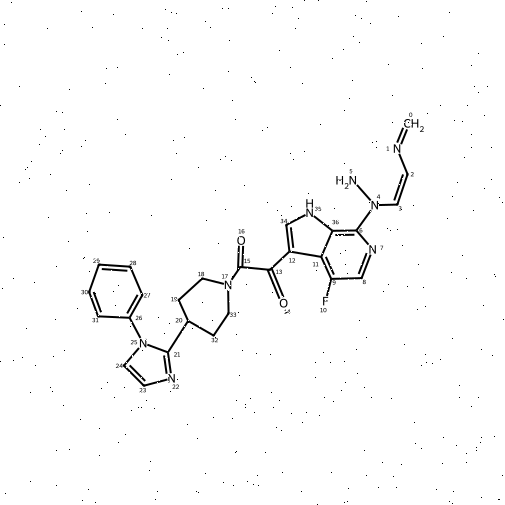 C=N/C=C\N(N)c1ncc(F)c2c(C(=O)C(=O)N3CCC(c4nccn4-c4ccccc4)CC3)c[nH]c12